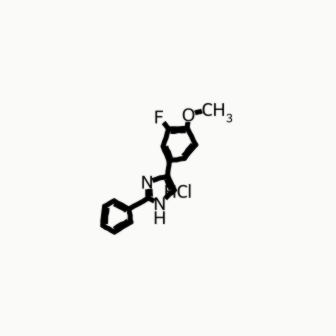 COc1ccc(-c2c[nH]c(-c3ccccc3)n2)cc1F.Cl